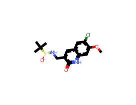 COc1cc2[nH]c(=O)c(CN[S@+]([O-])C(C)(C)C)cc2cc1Cl